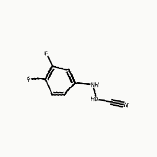 N#CBNc1ccc(F)c(F)c1